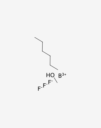 CCCCCC.CO.[B+3].[F-].[F-].[F-]